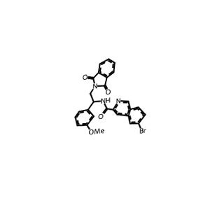 COc1cccc(C(CN2C(=O)c3ccccc3C2=O)NC(=O)c2cc3cc(Br)ccc3cn2)c1